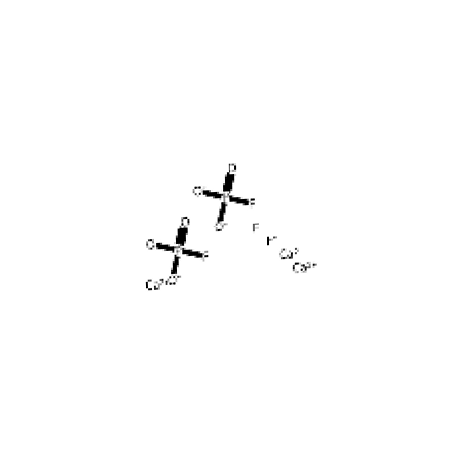 O=P([O-])([O-])F.O=P([O-])([O-])F.[Ca+2].[Ca+2].[Ca+2].[F-].[F-]